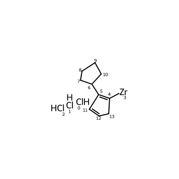 Cl.Cl.Cl.[Zr][C]1=C(C2CCCC2)C=CC1